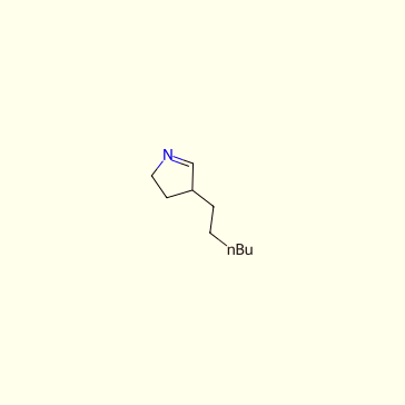 CCCCCCC1C=NCC1